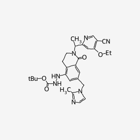 CCOc1cc(C(C)N2CCc3c(NNC(=O)OC(C)(C)C)cc(Cn4ccnc4C)cc3C2=O)ncc1C#N